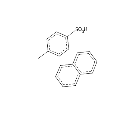 Cc1ccc(S(=O)(=O)O)cc1.c1ccc2ccccc2c1